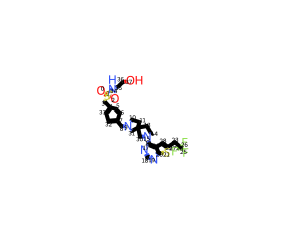 O=S(=O)(Cc1ccc(CN2CCC3(CCN(c4ncnc5sc(CC(F)(F)F)cc45)C3)C2)cc1)NCCO